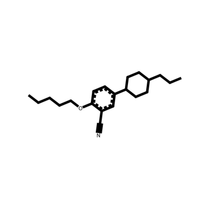 CCCCCOc1ccc(C2CCC(CCC)CC2)cc1C#N